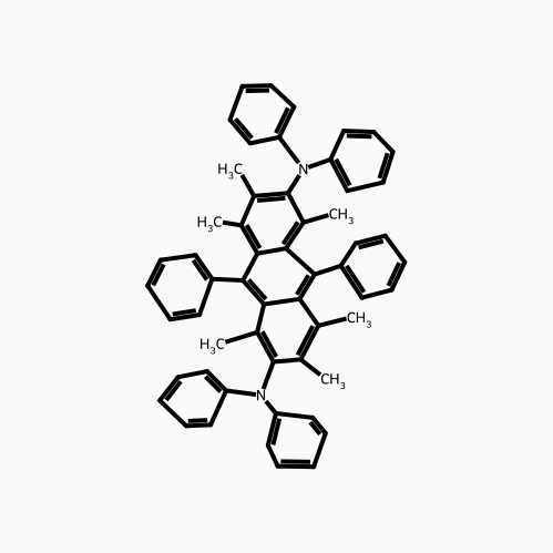 Cc1c(N(c2ccccc2)c2ccccc2)c(C)c2c(-c3ccccc3)c3c(C)c(C)c(N(c4ccccc4)c4ccccc4)c(C)c3c(-c3ccccc3)c2c1C